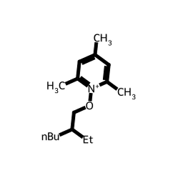 CCCCC(CC)CO[n+]1c(C)cc(C)cc1C